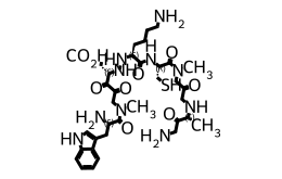 C[C@H](NCC(=O)CN(C)C(=O)[C@H](CS)NC(=O)[C@H](CCCCN)NN[C@@H](CC(=O)O)C(=O)C(=O)CN(C)C(=O)[C@@H](N)Cc1c[nH]c2ccccc12)C(=O)CN